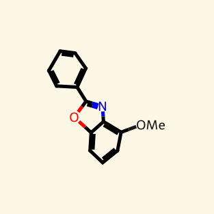 COc1cccc2oc(-c3ccccc3)nc12